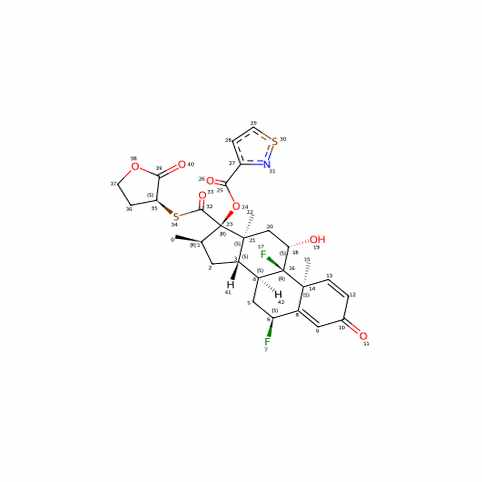 C[C@@H]1C[C@H]2[C@@H]3C[C@H](F)C4=CC(=O)C=C[C@]4(C)[C@@]3(F)[C@@H](O)C[C@]2(C)[C@@]1(OC(=O)c1ccsn1)C(=O)S[C@H]1CCOC1=O